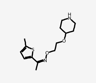 CC(=NOCCOC1CCNCC1)c1ccc(C)s1